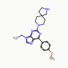 CCn1cnc2c(-c3ccc(OC)cc3)nc(N3CCC4(CCNC4)CC3)nc21